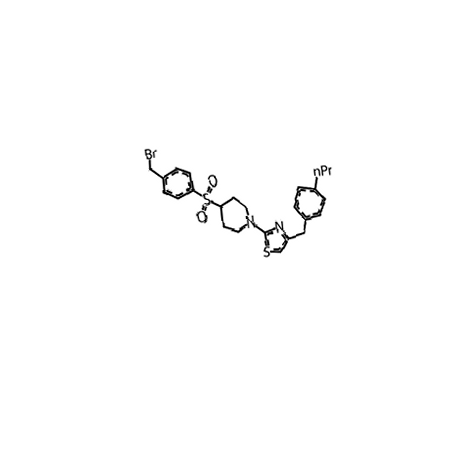 CCCc1ccc(Cc2csc(N3CCC(S(=O)(=O)c4ccc(CBr)cc4)CC3)n2)cc1